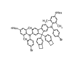 CCCCCCc1cc(C)c(N(c2ccc(Br)cc2)c2ccc3c(c2)C(c2ccc4c(c2)CC4)(c2ccc4c(c2)CC4)c2cc(N(c4ccc(Br)cc4)c4c(C)cc(CCCCCC)cc4C)ccc2-3)c(C)c1